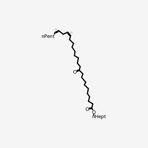 CCCCC/C=C\C/C=C\CCCCCCCCC(=O)CCCCCCCCCC(=O)OCCCCCCC